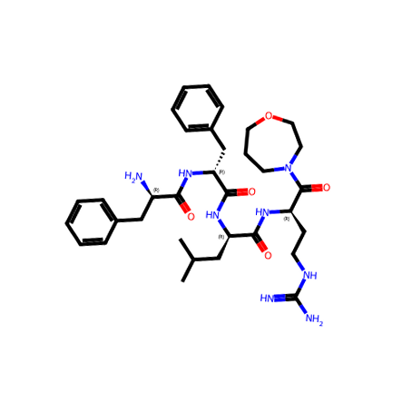 CC(C)C[C@@H](NC(=O)[C@@H](Cc1ccccc1)NC(=O)[C@H](N)Cc1ccccc1)C(=O)N[C@H](CCNC(=N)N)C(=O)N1CCCOCC1